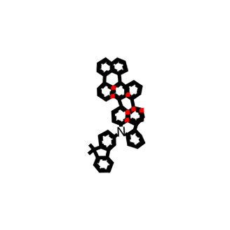 CC1(C)c2ccccc2-c2cc(N(c3ccccc3-c3ccccc3)c3ccc(-c4ccc(-c5cccc6cccc(-c7ccccc7)c56)cc4)c4c(-c5ccccc5)cccc34)ccc21